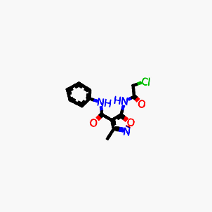 Cc1noc(NC(=O)CCl)c1C(=O)Nc1ccccc1